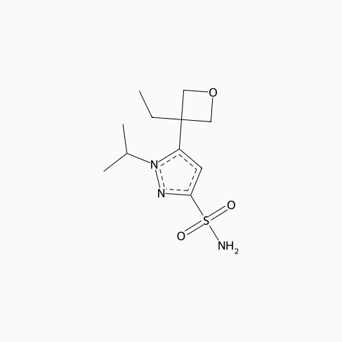 CCC1(c2cc(S(N)(=O)=O)nn2C(C)C)COC1